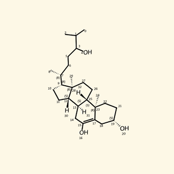 CC(C)C(O)CC[C@@H](C)[C@H]1CC[C@H]2[C@@H]3CC(O)=C4C[C@@H](O)CC[C@]4(C)[C@H]3CC[C@]12C